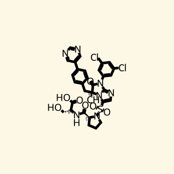 C[C@@]1(Cc2ccc(-c3cncnc3)cc2)C(=O)N(c2cc(Cl)cc(Cl)c2)c2ncc(S(=O)(=O)N3CCC[C@H]3C(=O)N[C@H](CO)C(=O)O)n21